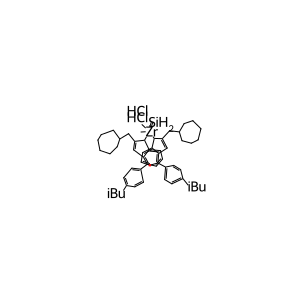 CCC(C)c1ccc(-c2cccc3c2C=C(CC2CCCCCC2)[CH]3[Zr]([CH3])([CH3])(=[SiH2])[CH]2C(CC3CCCCCC3)=Cc3c(-c4ccc(C(C)CC)cc4)cccc32)cc1.Cl.Cl